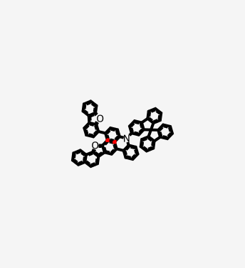 c1ccc(N(c2ccc(-c3cccc4c3oc3ccccc34)cc2)c2ccc3c(c2)C2(c4ccccc4-c4ccccc42)c2ccccc2-3)c(-c2ccc3oc4c5ccccc5ccc4c3c2)c1